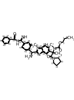 CCCOC(=O)N(C)C(C)(C(=O)N1CCCC1)c1ccc2c(c1)nc(C(N)c1ccc(C(=N)NC(=O)c3ccccc3)cc1)n2C